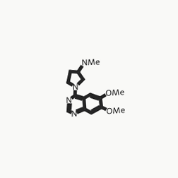 CNC1CCN(c2ncnc3cc(OC)c(OC)cc23)C1